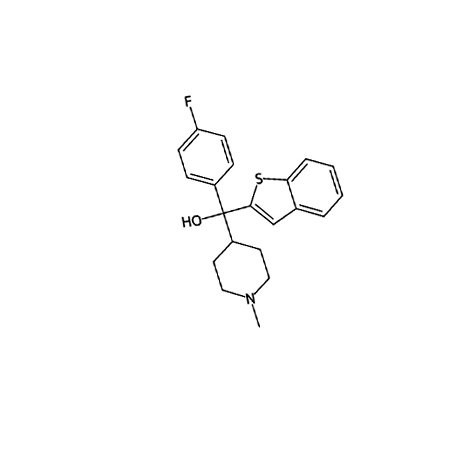 CN1CCC(C(O)(c2ccc(F)cc2)c2cc3ccccc3s2)CC1